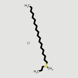 CCCCCCCCCCCCCCCCCCCC[S+](C)CCC.[Cl-]